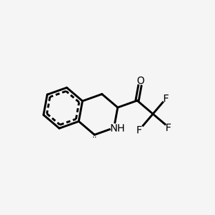 O=C(C1Cc2ccccc2[C]N1)C(F)(F)F